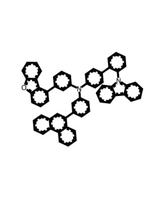 c1cc(-c2cc3ccccc3c3ccccc23)cc(N(c2ccc(-c3ccccc3-n3c4ccccc4c4ccccc43)cc2)c2cccc(-c3cccc4oc5ccccc5c34)c2)c1